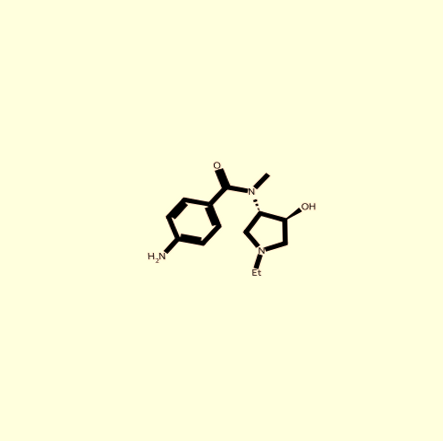 CCN1C[C@H](O)[C@@H](N(C)C(=O)c2ccc(N)cc2)C1